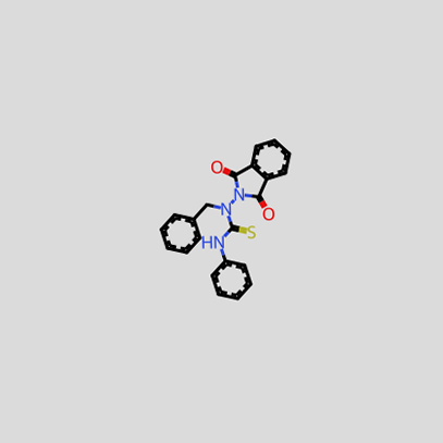 O=C1c2ccccc2C(=O)N1N(Cc1ccccc1)C(=S)Nc1ccccc1